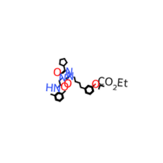 CCOC(=O)C(C)(C)Oc1cccc(CCCCn2nc(C3CCCC3)c(=O)n(CC(=O)Nc3c(C)cccc3C)c2=O)c1